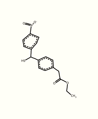 CCOC(=O)Cc1ccc(C(S)c2ccc([N+](=O)[O-])cc2)cc1